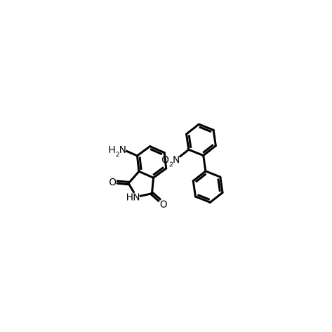 Nc1cccc2c1C(=O)NC2=O.O=[N+]([O-])c1ccccc1-c1ccccc1